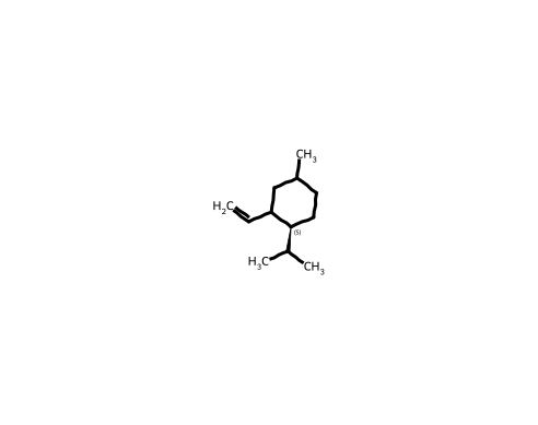 C=CC1CC(C)CC[C@H]1C(C)C